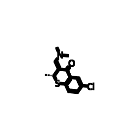 C[C@H]1Sc2ccc(Cl)cc2C(=O)C1=CN(C)C